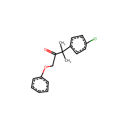 CC(C)(C(=O)COc1ccccc1)c1ccc(Cl)cc1